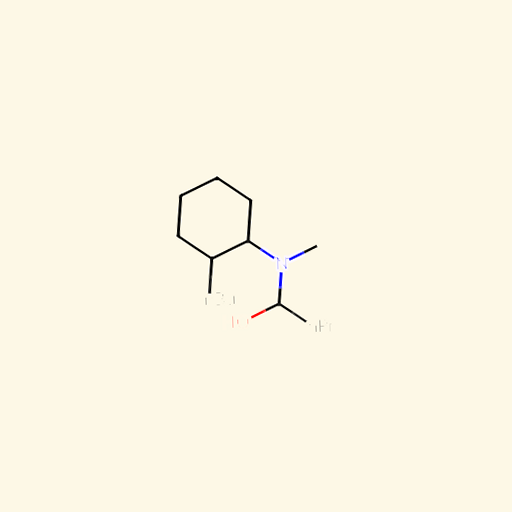 CCCCC1CCCCC1N(C)C(O)CCC